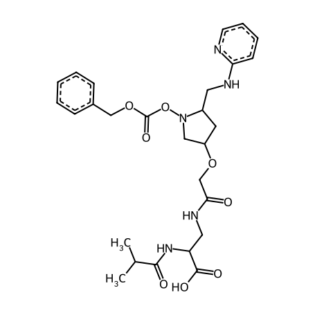 CC(C)C(=O)NC(CNC(=O)COC1CC(CNc2ccccn2)N(OC(=O)OCc2ccccc2)C1)C(=O)O